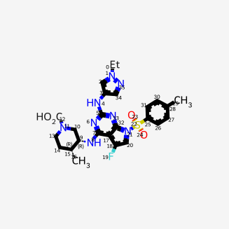 CCn1cc(Nc2nc(N[C@H]3CN(C(=O)O)CC[C@H]3C)c3c(F)cn(S(=O)(=O)c4ccc(C)cc4)c3n2)cn1